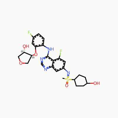 CS(=O)(=Nc1cc(F)c2c(Nc3ccc(F)cc3O[C@H]3COC[C@@H]3O)ncnc2c1)C1CCC(O)CC1